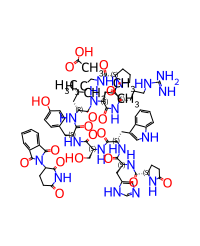 CC(=O)O.CCNC(=O)[C@@H]1CCCN1C(=O)[C@H](CCCNC(=N)N)NC(=O)[C@H](CC(C)C)NC(=O)[C@@H](CC(C)C)NC(=O)[C@H](Cc1ccc(O)cc1)NC(=O)[C@H](CO)NC(=O)[C@H](Cc1c[nH]c2ccccc12)NC(=O)[C@H](Cc1cnc[nH]1)NC(=O)[C@@H]1CCC(=O)N1.O=C1CCC(N2C(=O)c3ccccc3C2=O)C(=O)N1